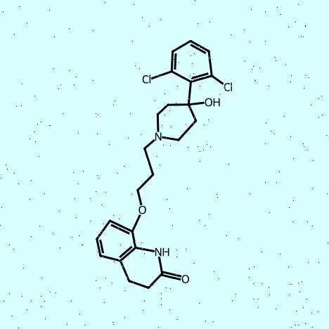 O=C1CCc2cccc(OCCCN3CCC(O)(c4c(Cl)cccc4Cl)CC3)c2N1